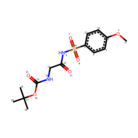 COc1ccc(S(=O)(=O)NC(=O)CNC(=O)OC(C)(C)C)cc1